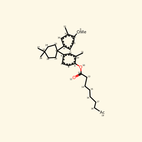 COc1ccc(C2(c3ccc(OC(=O)CCCCCCC(C)=O)c(C)c3)CCC(C)(C)CC2)cc1C